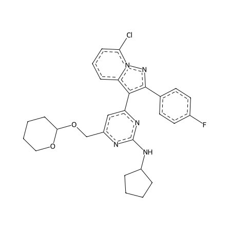 Fc1ccc(-c2nn3c(Cl)cccc3c2-c2cc(COC3CCCCO3)nc(NC3CCCC3)n2)cc1